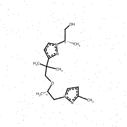 Cc1ccn(C[C@H](C)OCC(C)(C)c2ccn([C@@H](C)CO)n2)n1